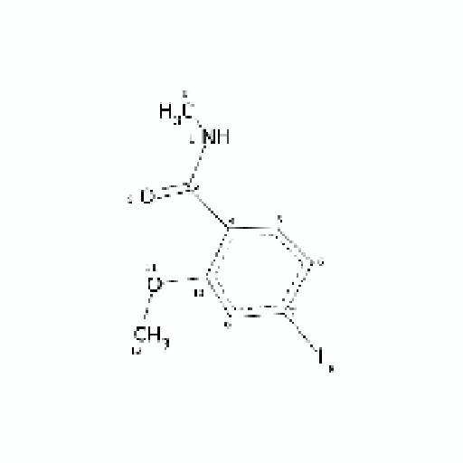 CNC(=O)c1ccc(I)cc1OC